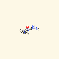 Cn1c(-c2ccn(-c3ccc4c(cnn4CCN4CCCC4)c3)c(=O)c2)cc2ccccc21